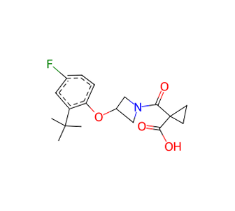 CC(C)(C)c1cc(F)ccc1OC1CN(C(=O)C2(C(=O)O)CC2)C1